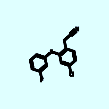 N#CCc1ccc(Cl)cc1Sc1cccc(F)c1